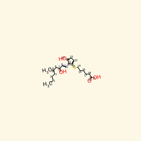 CCCC[C@@H](C)C[C@H](O)/C=C/[C@H]1C(SCCCCCC(=O)O)=CC[C@H]1O